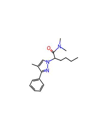 CCCCC(C(=O)N(C)C)n1cc(C)c(-c2ccccc2)n1